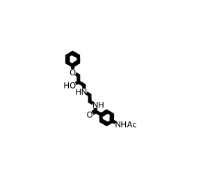 CC(=O)Nc1ccc(C(=O)NCCNCC(O)COc2ccccc2)cc1